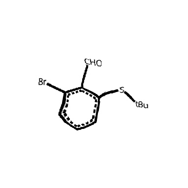 CC(C)(C)Sc1cccc(Br)c1C=O